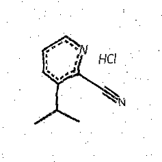 CC(C)c1cccnc1C#N.Cl